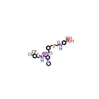 O=C(CCSCc1cccc(C(=O)Nc2ccc(N3CCCCC3)cc2C(=O)N/N=C/c2ccc(Cl)c(C(F)(F)F)c2)c1)Nc1ccc(B(O)O)cc1